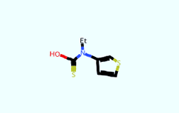 CCN(C(O)=S)c1ccsc1